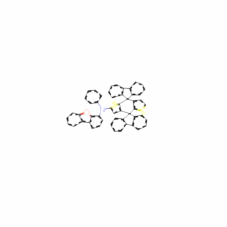 c1ccc(N(c2cc3c(s2)C2(c4ccccc4-c4ccccc42)c2ccsc2C32c3ccccc3-c3ccccc32)c2cccc3c2oc2ccccc23)cc1